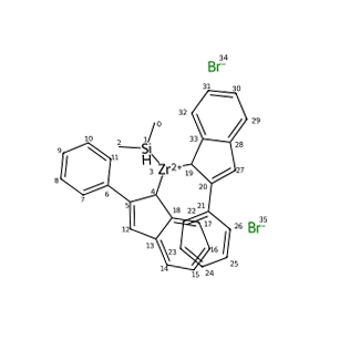 C[SiH](C)[Zr+2]([CH]1C(c2ccccc2)=Cc2ccccc21)[CH]1C(c2ccccc2)=Cc2ccccc21.[Br-].[Br-]